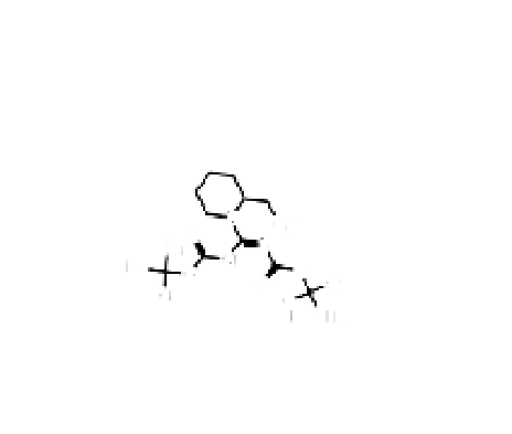 CC(C)(C)OC(=O)N=C(NC(=O)OC(C)(C)C)N1CCCCC1CO